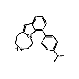 CC(C)c1ccc(-c2cccc3cc4n(c23)CCNCC4)cc1